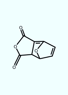 O=C1OC(=O)C2C1=C1C=CC2O1